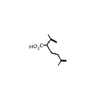 C=C(C)CCC(C(=C)C)C(=O)O